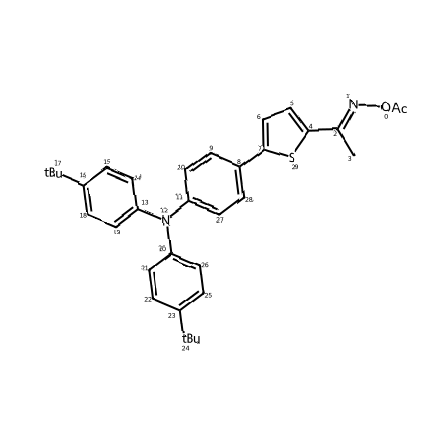 CC(=O)O/N=C(\C)c1ccc(-c2ccc(N(c3ccc(C(C)(C)C)cc3)c3ccc(C(C)(C)C)cc3)cc2)s1